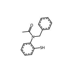 CC(=O)N(Cc1ccccc1)c1ccccc1S